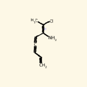 C=CC=C=C/C(N)=C(\C)Cl